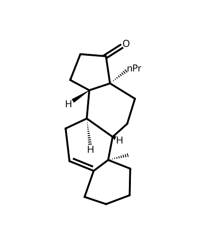 CCC[C@]12CC[C@H]3[C@@H](CC=C4CCCC[C@@]43C)[C@@H]1CCC2=O